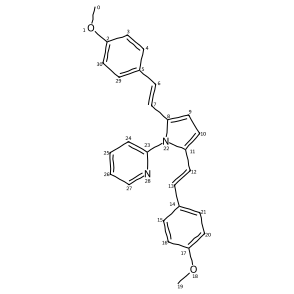 COc1ccc(C=Cc2ccc(C=Cc3ccc(OC)cc3)n2-c2ccccn2)cc1